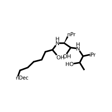 CCCCCCCCCCCCCCCC(O)N[C@@H](CCC)C(O)NC(C(C)C)C(C)O